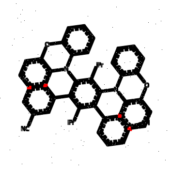 CC(C)c1c(-c2cccc(C#N)c2)c(N2c3ccccc3Oc3ccccc32)c(C(C)C)c(N2c3ccccc3Oc3ccccc32)c1-c1cccc(C#N)c1